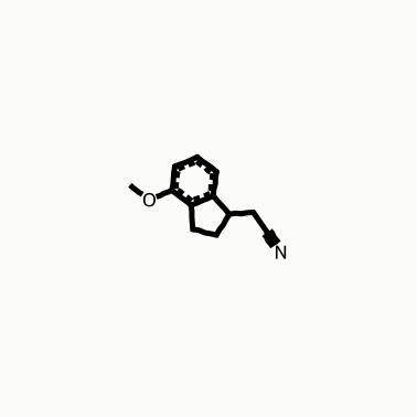 COc1cccc2c1CCC2CC#N